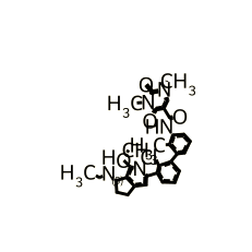 CCN[C@H]1CCc2cc(-c3cccc(-c4cccc(NC(=O)c5cn(C)c(=O)n(C)c5=O)c4C)c3Cl)nc(OC)c21